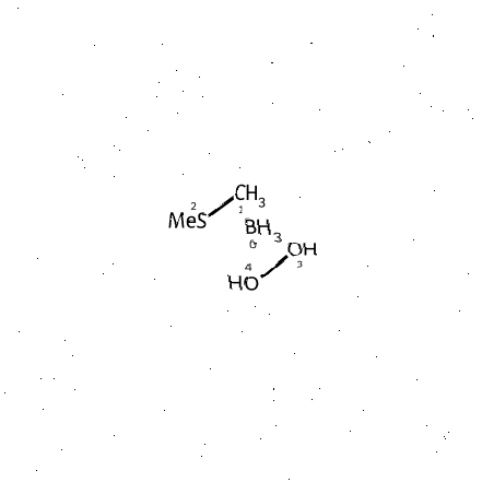 B.CSC.OO